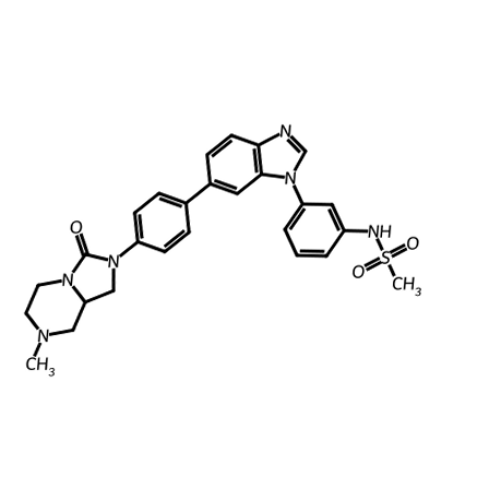 CN1CCN2C(=O)N(c3ccc(-c4ccc5ncn(-c6cccc(NS(C)(=O)=O)c6)c5c4)cc3)CC2C1